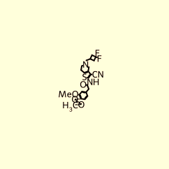 COc1cc(CC(=O)Nc2sc3c(c2C#N)CN(CC2CC(F)(F)C2)CC3)ccc1S(C)(=O)=O